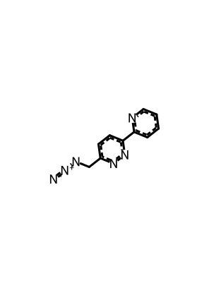 [N-]=[N+]=NCc1ccc(-c2ccccn2)nn1